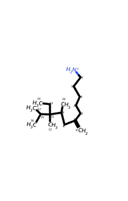 C=C(CCCCCN)CC(C)C(C)(CC)C(C)C